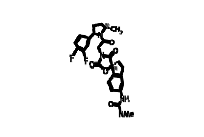 CNC(=O)Nc1ccc2c(c1)CC[C@@]21OC(=O)N(CC(=O)N2C(c3ccc(F)c(F)c3)CC[C@@H]2C)C1=O